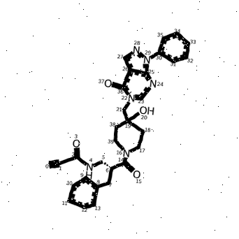 C#CC(=O)NC[C@@H](Cc1ccccc1)C(=O)N1CCC(O)(Cn2cnc3c(cnn3-c3ccccc3)c2=O)CC1